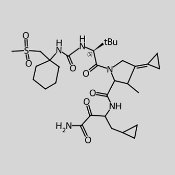 CC1C(=C2CC2)CN(C(=O)[C@@H](NC(=O)NC2(CS(C)(=O)=O)CCCCC2)C(C)(C)C)C1C(=O)NC(CC1CC1)C(=O)C(N)=O